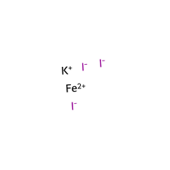 [Fe+2].[I-].[I-].[I-].[K+]